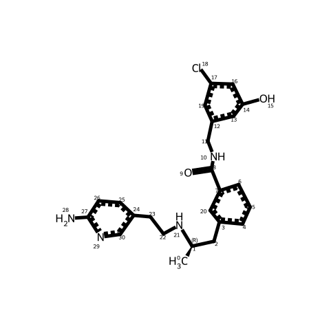 C[C@H](Cc1cccc(C(=O)NCc2cc(O)cc(Cl)c2)c1)NCCc1ccc(N)nc1